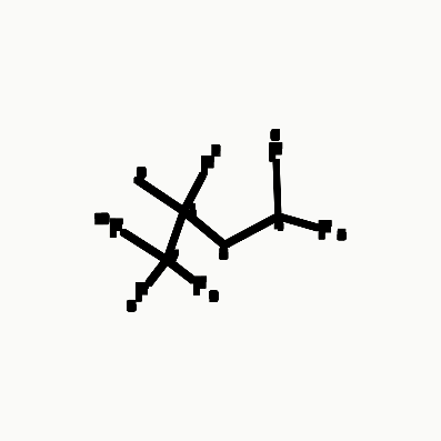 CC(F)(CC(F)F)C(F)(F)F